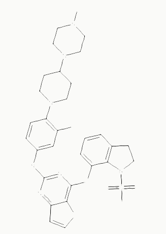 CN1CCN(C2CCN(c3ccc(Nc4nc(Oc5cccc6c5N(S(C)(=O)=O)CC6)c5sccc5n4)cc3F)CC2)CC1